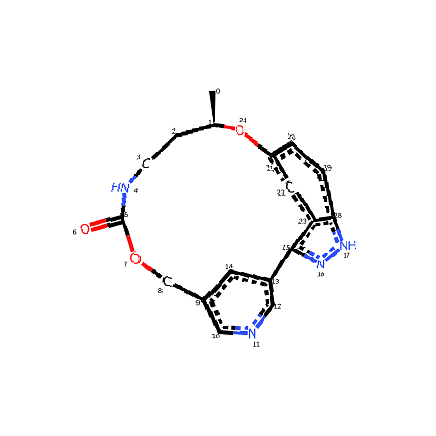 C[C@@H]1CCNC(=O)OCc2cncc(c2)-c2n[nH]c3ccc(cc23)O1